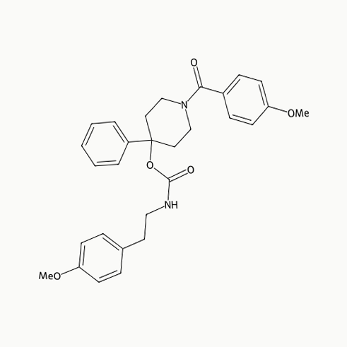 COc1ccc(CCNC(=O)OC2(c3ccccc3)CCN(C(=O)c3ccc(OC)cc3)CC2)cc1